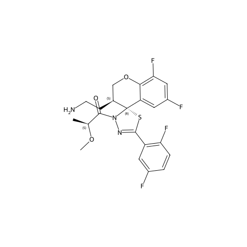 CO[C@@H](C)C(=O)N1N=C(c2cc(F)ccc2F)S[C@]12c1cc(F)cc(F)c1OC[C@@H]2CCN